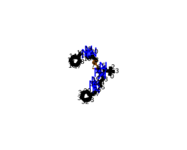 CC(C)(C)c1nc(SCc2cn(Cc3ccccc3)nn2)nn1Cc1cn(Cc2ccccc2)nn1